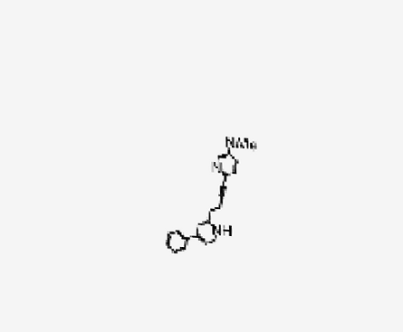 CNc1ccc(C#CCCC2CC(c3ccccc3)=CCN2)nc1